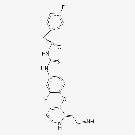 N=C/C=C1\NC=CC=C1Oc1ccc(NC(=S)NC(=O)Cc2ccc(F)cc2)cc1F